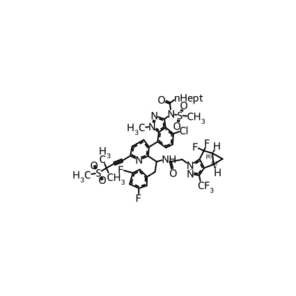 CCCCCCCC(=O)N(c1nn(C)c2c(-c3ccc(C#CC(C)(C)S(C)(=O)=O)nc3C(Cc3cc(F)cc(F)c3)NC(=O)Cn3nc(C(F)(F)F)c4c3C(F)(F)[C@@H]3C[C@H]43)ccc(Cl)c12)S(C)(=O)=O